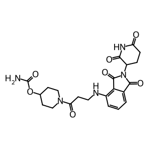 NC(=O)OC1CCN(C(=O)CCNc2cccc3c2C(=O)N(C2CCC(=O)NC2=O)C3=O)CC1